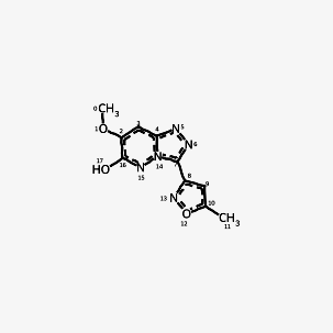 COc1cc2nnc(-c3cc(C)on3)n2nc1O